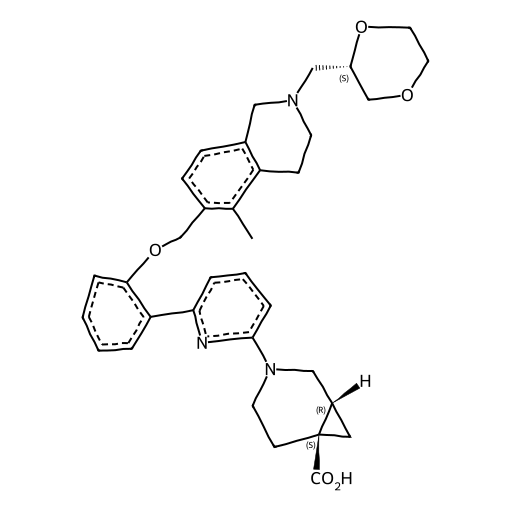 Cc1c(COc2ccccc2-c2cccc(N3CC[C@@]4(C(=O)O)C[C@H]4C3)n2)ccc2c1CCN(C[C@H]1COCCO1)C2